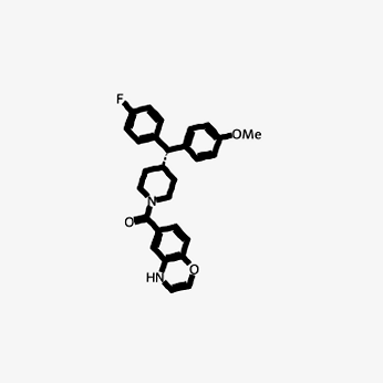 COc1ccc([C@@H](c2ccc(F)cc2)C2CCN(C(=O)c3ccc4c(c3)NC=CO4)CC2)cc1